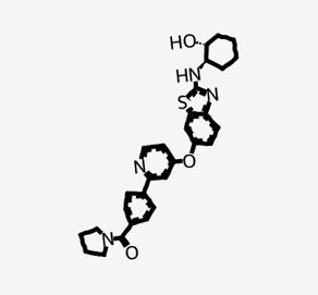 O=C(c1ccc(-c2cc(Oc3ccc4nc(N[C@@H]5CCCC[C@H]5O)sc4c3)ccn2)cc1)N1CCCC1